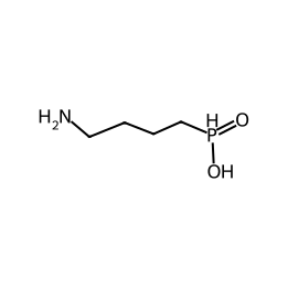 NCCCC[PH](=O)O